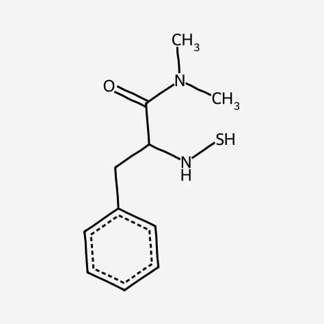 CN(C)C(=O)C(Cc1ccccc1)NS